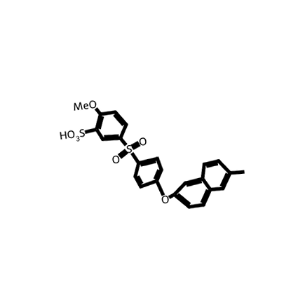 COc1ccc(S(=O)(=O)c2ccc(Oc3ccc4cc(C)ccc4c3)cc2)cc1S(=O)(=O)O